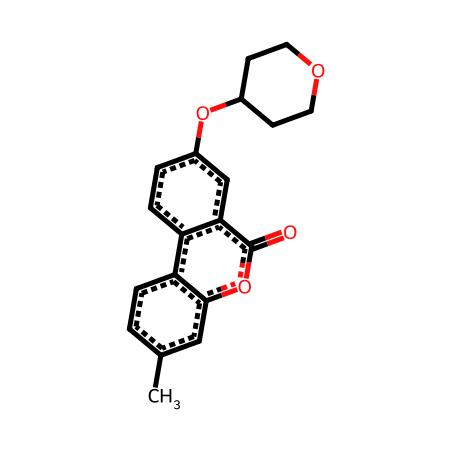 Cc1ccc2c(c1)oc(=O)c1cc(OC3CCOCC3)ccc12